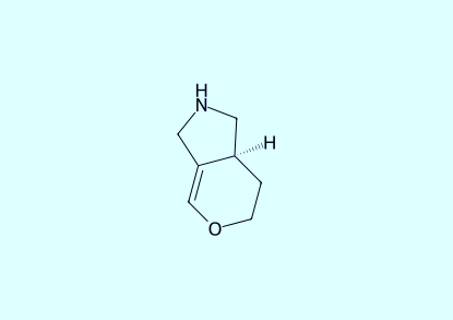 C1=C2CNC[C@H]2CCO1